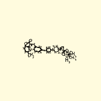 Cc1ccc2oc(=O)n(Cc3cccc(-c4ncc(N5CCN(OC(=O)OC(C)(C)C)CC5)cn4)c3)c2n1